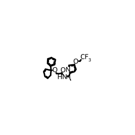 C[C@@H](NC(=O)COC1(c2ccccc2)C=CC=CC1)c1ccc(OCC(F)(F)F)cn1